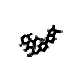 C[C@@H]1CC[C@H](C)N(C(=O)OC(C)(C)C)[C@@H]1C(=O)N[C@H](C#N)Cc1ccc(-c2ccc3c(c2)CNC3=O)cc1